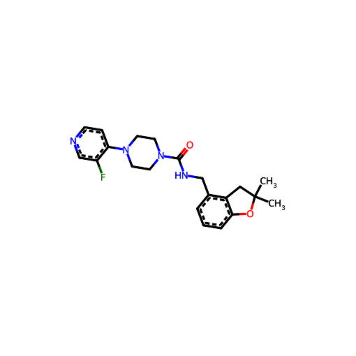 CC1(C)Cc2c(CNC(=O)N3CCN(c4ccncc4F)CC3)cccc2O1